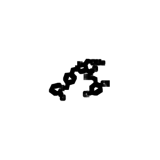 COCc1nn(Cc2ccc(Cn3ccccc3=O)cc2)cc1C(=O)NCc1cc(Cl)ccc1C#N